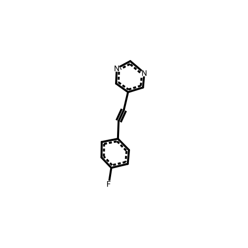 Fc1ccc(C#Cc2cncnc2)cc1